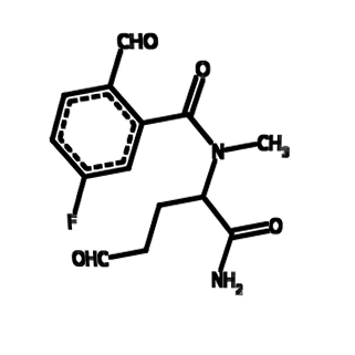 CN(C(=O)c1cc(F)ccc1C=O)C(CCC=O)C(N)=O